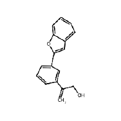 C=C(CO)c1cccc(-c2cc3ccccc3o2)c1